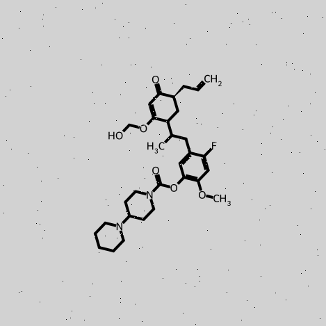 C=CC[C@H]1CC(C(C)Cc2cc(OC(=O)N3CCC(N4CCCCC4)CC3)c(OC)cc2F)C(OCO)=CC1=O